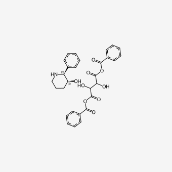 O=C(OC(=O)C(O)C(O)C(=O)OC(=O)c1ccccc1)c1ccccc1.O[C@H]1CCCN[C@H]1c1ccccc1